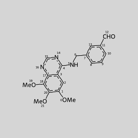 COc1cc2c(NCc3cccc(C=O)c3)ncnc2c(OC)c1OC